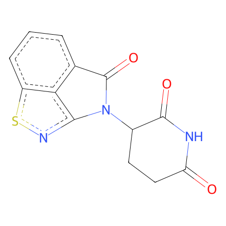 O=C1CCC(N2C(=O)c3cccc4snc2c34)C(=O)N1